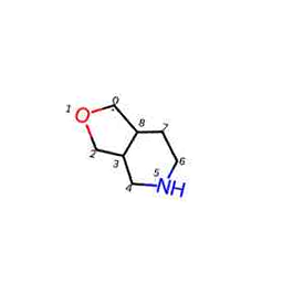 [CH]1OCC2CNCCC12